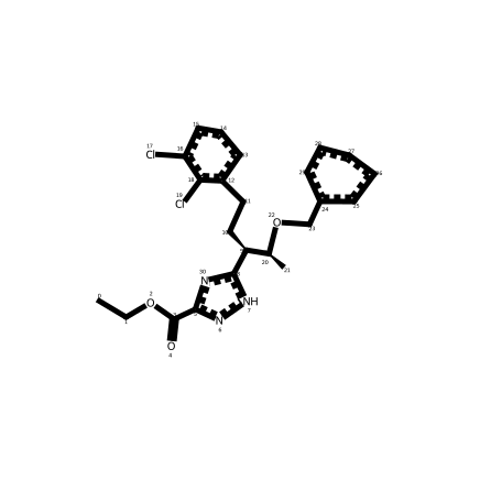 CCOC(=O)c1n[nH]c([C@@H](CCc2cccc(Cl)c2Cl)[C@H](C)OCc2ccccc2)n1